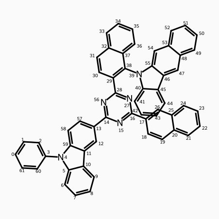 c1ccc(-n2c3ccccc3c3cc(-c4nc(-c5ccc6ccccc6c5)nc(-c5ccc6ccccc6c5-n5c6ccccc6c6cc7ccccc7cc65)n4)ccc32)cc1